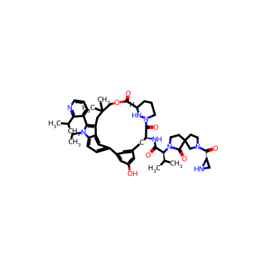 CCn1c(-c2cccnc2C(C)C)c2c3cc(ccc31)-c1cc(O)cc(c1)C[C@H](NC(=O)[C@H](C(C)C)N1CCC3(CCN(C(=O)[C@@H]4CN4)C3)C1=O)C(=O)N1CCC[C@H](N1)C(=O)OCC(C)(C)C2